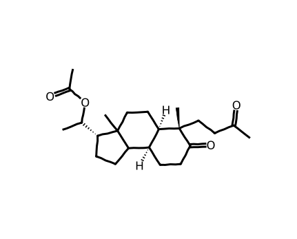 CC(=O)CC[C@]1(C)C(=O)CC[C@H]2C3CC[C@H](C(C)OC(C)=O)C3(C)CC[C@H]21